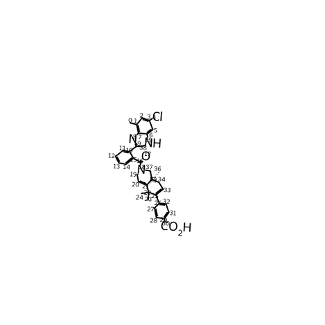 Cc1cc(Cl)cc2c1N=C(c1ccccc1C(=O)N1CC=C3C(C)(C)C(c4ccc(C(=O)O)cc4)=CC[C@]3(C)C1)CN2